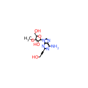 CO[C@H]1[C@@H](O)[C@H](n2cnc3c(N)nc(C#CCO)nc32)O[C@@H]1CO